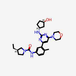 CC[C@@H]1CCN(C(=O)Nc2ccc(C)c(-c3cc(N4CCOCC4)nc(N[C@@H]4CC[C@@H](O)C4)n3)c2)C1